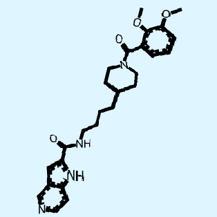 COc1cccc(C(=O)N2CCC(CCCCNC(=O)c3cc4cnccc4[nH]3)CC2)c1OC